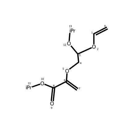 C=COC(COC(=C)C(=O)OC(C)C)OC(C)C